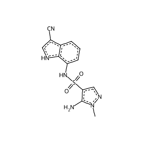 Cn1ncc(S(=O)(=O)Nc2cccc3c(C#N)c[nH]c23)c1N